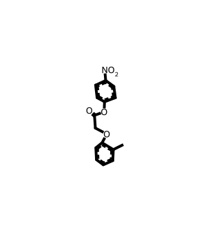 Cc1ccccc1OCC(=O)Oc1ccc([N+](=O)[O-])cc1